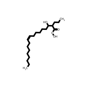 CCCCCCCC/C=C\CCCCCC(O)C(CCC)C(=O)OO